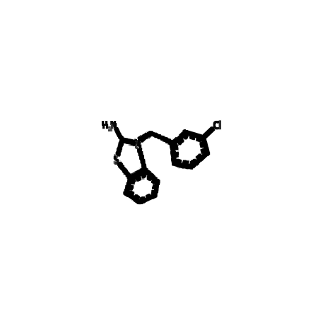 NC1Sc2ccccc2N1Cc1cccc(Cl)c1